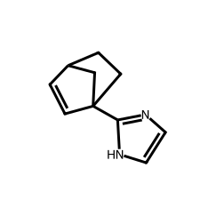 C1=CC2(c3ncc[nH]3)CCC1C2